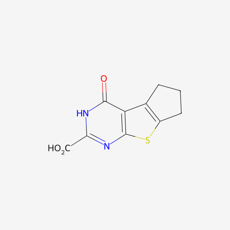 O=C(O)c1nc2sc3c(c2c(=O)[nH]1)CCC3